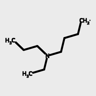 [CH2]CCCN(CC)CCC